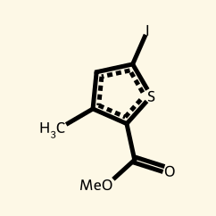 COC(=O)c1sc(I)cc1C